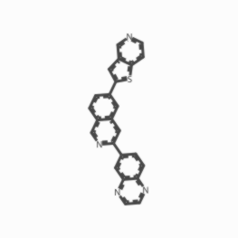 c1cc2sc(-c3ccc4cnc(-c5ccc6nccnc6c5)cc4c3)cc2cn1